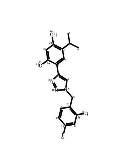 CC(C)c1cc(-c2cn(Cc3ccc(F)cc3Cl)nn2)c(O)cc1O